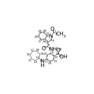 CC(=O)n1cc(C(=O)Nc2cc(NC3CCCCCC3)ccc2C(=O)O)c2ccccc21